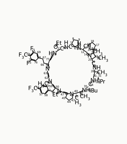 CCO[C@@H]1CNCC2(CCCC2)NC(C)[C@H](C2CCCC2)N2C(C)[C@@H](C)C2CNC(C)[C@H](CC(C)C)NC[C@H]([C@@H](C)CC)NC(C)[C@H](C)N2CCCC2=CN(CC)C(Cc2ccc(C(F)(F)F)cc2)=CN(C)C=CN=C(CCc2cc(F)c(C(F)(F)F)c(F)c2)C=CN1